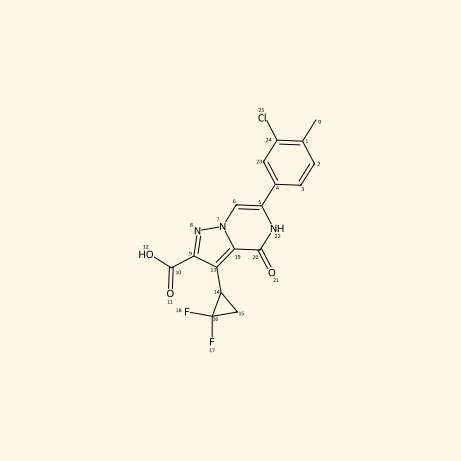 Cc1ccc(-c2cn3nc(C(=O)O)c(C4CC4(F)F)c3c(=O)[nH]2)cc1Cl